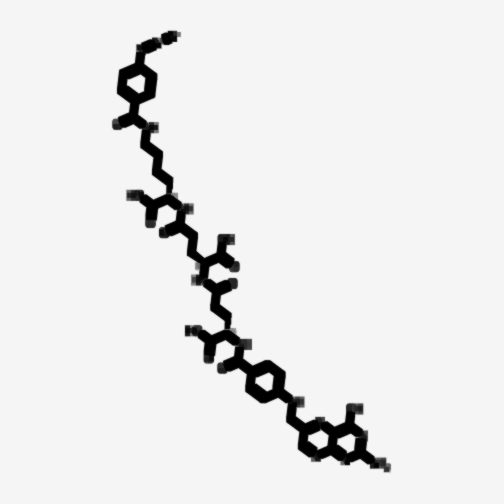 [N-]=[N+]=Nc1ccc(C(=O)NCCCC[C@H](NC(=O)CC[C@H](NC(=O)CC[C@H](NC(=O)c2ccc(NCc3cnc4nc(N)nc(O)c4n3)cc2)C(=O)O)C(=O)O)C(=O)O)cc1